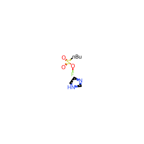 CCCCS(=O)(=O)OF.c1c[nH]cn1